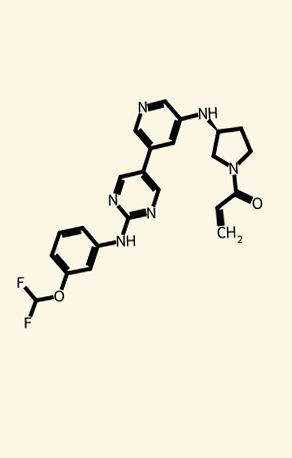 C=CC(=O)N1CC[C@H](Nc2cncc(-c3cnc(Nc4cccc(OC(F)F)c4)nc3)c2)C1